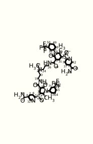 Cc1c([S+]([O-])c2ccc(C(N)=O)cn2)cc(C(=O)NCCCN(C)CCCNC(=O)c2cc([S+]([O-])c3ccc(C(N)=O)cn3)c(C)n(-c3cccc(C(F)(F)F)c3)c2=O)c(=O)n1-c1cccc(C(F)(F)F)c1